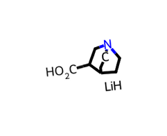 O=C(O)C1CN2CCC1CC2.[LiH]